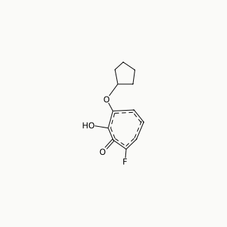 O=c1c(F)cccc(OC2CCCC2)c1O